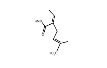 CC=C(CC=C(C)C(=O)O)C(=O)OC